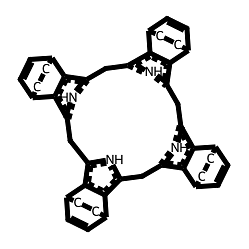 C1=CC2CCC1c1c3[nH]c(c12)Cc1[nH]c(c2c1C1C=CC2CC1)Cc1[nH]c(c2c1C1C=CC2CC1)Cc1[nH]c(c2c1C1C=CC2CC1)C3